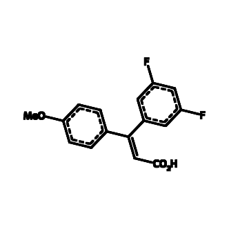 COc1ccc(C(=CC(=O)O)c2cc(F)cc(F)c2)cc1